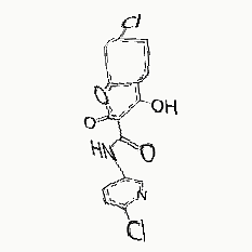 O=C(Nc1ccc(Cl)nc1)c1c(O)c2ccc(Cl)cc2oc1=O